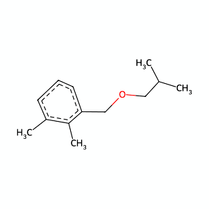 Cc1cccc(COCC(C)C)c1C